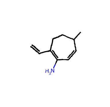 C=CC1=C(N)C=CC(C)CC1